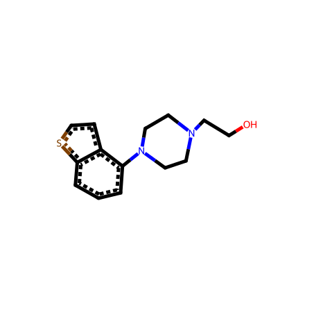 OCCN1CCN(c2cccc3sccc23)CC1